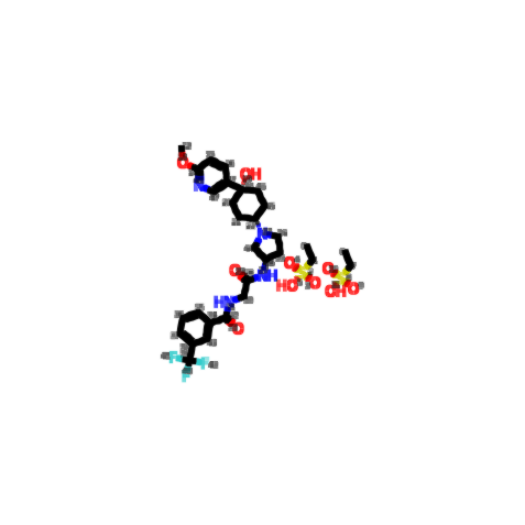 CCS(=O)(=O)O.CCS(=O)(=O)O.COc1ccc([C@]2(O)CC[C@@H](N3CC[C@@H](NC(=O)CNC(=O)c4cccc(C(F)(F)F)c4)C3)CC2)cn1